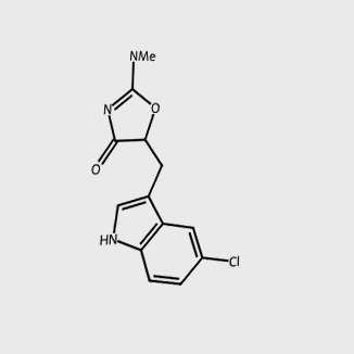 CNC1=NC(=O)C(Cc2c[nH]c3ccc(Cl)cc23)O1